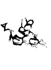 Cc1ccc(C(=O)NCC2CC2)cc1-c1nc(NC2CC(C)(C)NC(C)(C)C2)nc2c1ccc(=O)n2C1=C(F)C=CCC1F